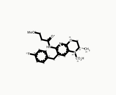 COCCC(=O)Nc1nc2c(cc1Cc1ccc(F)cc1)N(C(=O)O)[C@@H](C)CO2